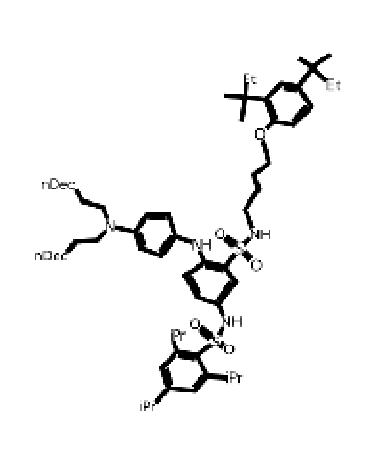 CCCCCCCCCCCCN(CCCCCCCCCCCC)c1ccc(Nc2ccc(NS(=O)(=O)c3c(C(C)C)cc(C(C)C)cc3C(C)C)cc2S(=O)(=O)NCCCCOc2ccc(C(C)(C)CC)cc2C(C)(C)CC)cc1